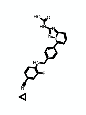 C1CC1.N#Cc1ccc(NCc2ccc(-c3cccc4nc(NC(=O)O)nn34)cc2)c(F)c1